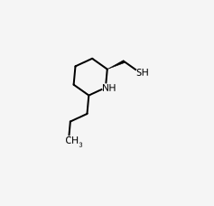 CCCC1CCC[C@@H](CS)N1